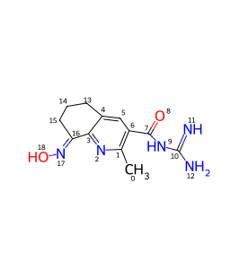 Cc1nc2c(cc1C(=O)NC(=N)N)CCCC2=NO